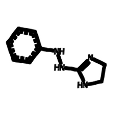 c1ccc(NNC2=NCCN2)cc1